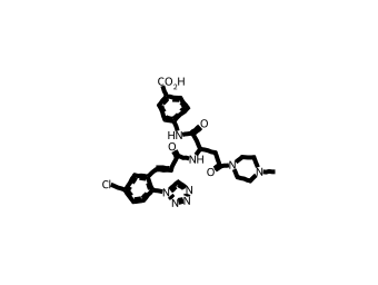 CN1CCN(C(=O)CC(NC(=O)C=Cc2cc(Cl)ccc2-n2cnnn2)C(=O)Nc2ccc(C(=O)O)cc2)CC1